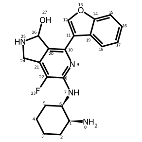 N[C@H]1CCCC[C@H]1Nc1nc(-c2coc3ccccc23)c2c(c1F)CNC2O